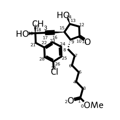 COC(=O)CCCCCC[C@H]1C(=O)C[C@H](O)[C@@H]1C#C[C@@](C)(O)Cc1cccc(Cl)c1